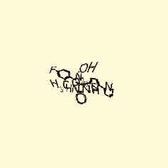 Cc1cc(F)ccc1CN(CO)C[C@]1(c2ccc(-c3ccccn3)s2)NC(=O)NC1=O